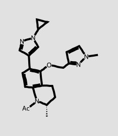 CC(=O)N1c2ccc(-c3cnn(C4CC4)c3)c(OCc3ccn(C)n3)c2CC[C@@H]1C